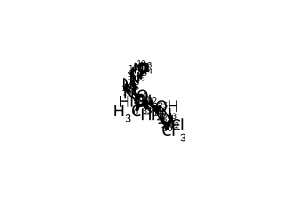 CC(NC(=O)c1cc(N2CCN3CCCC3C2)ncn1)c1ncc(C(O)Nc2cc(C(F)(F)F)c(Cl)cn2)s1